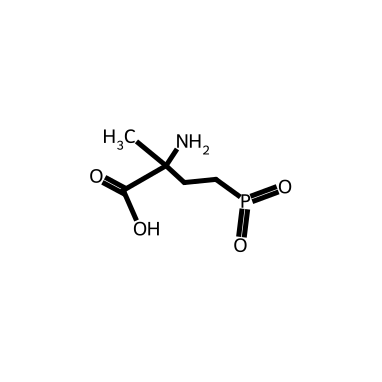 CC(N)(CCP(=O)=O)C(=O)O